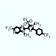 CCS(=O)(=O)c1c(-c2nc3cc(C(F)(F)F)ncc3n2C)nc(C2=CCC(C(F)(F)F)CC2)n1C